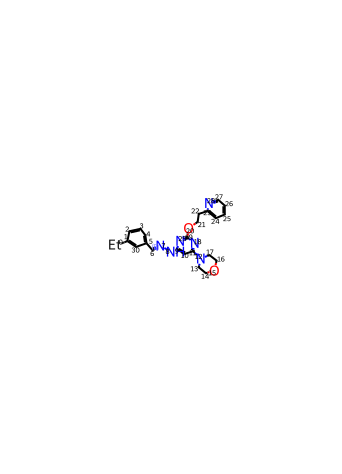 CCc1cccc(/C=N/Nc2cc(N3CCOCC3)nc(OCCc3ccccn3)n2)c1